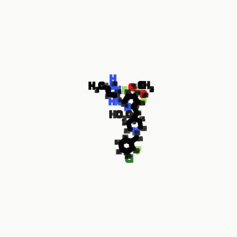 Cc1cc(Nc2nc(CC3(C(=O)O)CCN(Cc4cccc(Cl)c4F)CC3)c(F)c(S(C)(=O)=O)c2F)n[nH]1